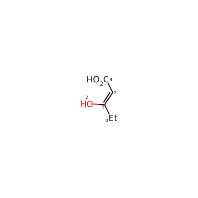 CCC(O)=CC(=O)O